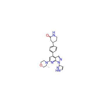 C[C@@H]1COCCN1c1cc(-c2ccc(C3CCNC(=O)C3)cc2)c2cnn(-c3cc[nH]n3)c2n1